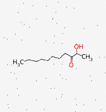 CCCCCCCCC(=O)C(C)O